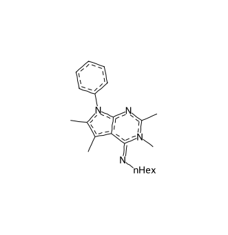 CCCCCCN=c1c2c(C)c(C)n(-c3ccccc3)c2nc(C)n1C